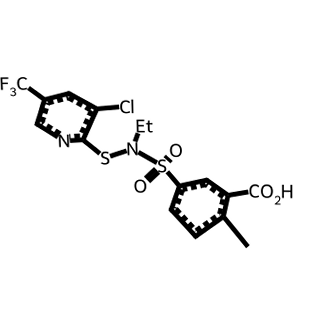 CCN(Sc1ncc(C(F)(F)F)cc1Cl)S(=O)(=O)c1ccc(C)c(C(=O)O)c1